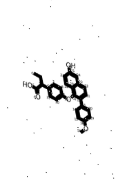 CCC(C(=O)O)c1ccc(Oc2c(-c3ccc(OC)cc3)ccc3cc(O)ccc23)cc1